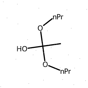 CCCOC(C)(O)OCCC